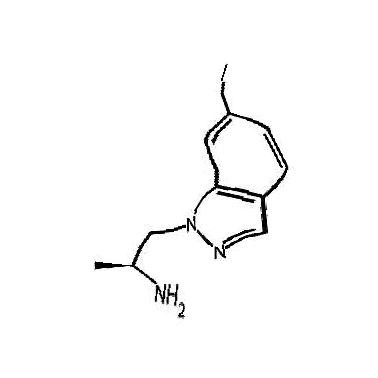 C[C@H](N)Cn1ncc2ccc(I)cc21